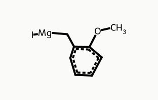 COc1ccccc1[CH2][Mg][I]